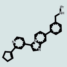 CC(C)NCc1cccc(-c2ccn3c(-c4ccnc(C5=CCCC5)c4)cnc3c2)c1